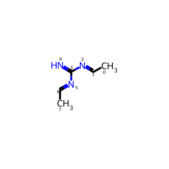 CC=NC(=N)N=CC